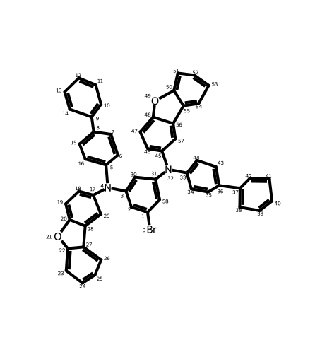 Brc1cc(N(c2ccc(-c3ccccc3)cc2)c2ccc3oc4ccccc4c3c2)cc(N(c2ccc(-c3ccccc3)cc2)c2ccc3oc4ccccc4c3c2)c1